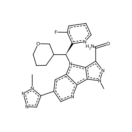 Cn1nncc1-c1cnc2c3c(c(C(N)=O)nn3C)n([C@H](c3ncccc3F)C3CCCOC3)c2c1